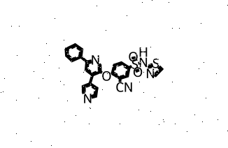 N#Cc1cc(S(=O)(=O)Nc2nccs2)ccc1Oc1cnc(-c2ccccc2)cc1-c1ccncc1